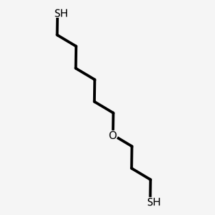 SCCCCCCOCCCS